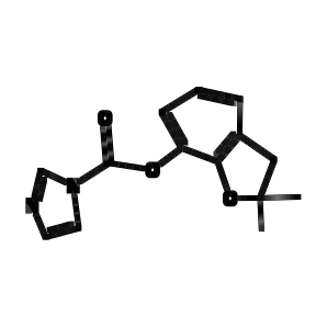 CC1(C)Cc2cccc(OC(=O)n3ccnc3)c2O1